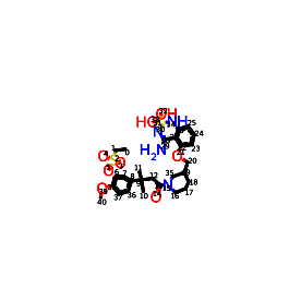 CCS(=O)(=O)Oc1cc(C(C)(C)CC(=O)N2CCCC(COc3cccc4c3C(N)=NS(O)(O)N4)C2)ccc1OC